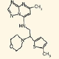 Cc1cc(NCC(c2ccc(C)s2)N2CCOCC2)n2ncnc2n1